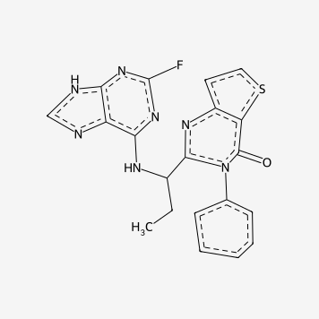 CCC(Nc1nc(F)nc2[nH]cnc12)c1nc2ccsc2c(=O)n1-c1ccccc1